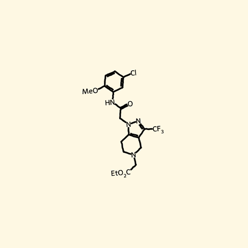 CCOC(=O)CN1CCc2c(c(C(F)(F)F)nn2CC(=O)Nc2cc(Cl)ccc2OC)C1